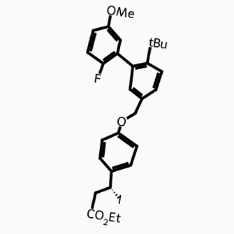 CCOC(=O)C[C@@H](I)c1ccc(OCc2ccc(C(C)(C)C)c(-c3cc(OC)ccc3F)c2)cc1